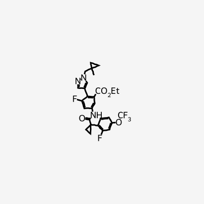 CCOC(=O)c1cc(NC(=O)C2(c3ccc(OC(F)(F)F)cc3F)CC2)cc(F)c1-c1cnn(CC2(C)CC2)c1